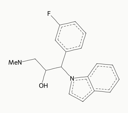 CNCC(O)C(c1cccc(F)c1)n1ccc2ccccc21